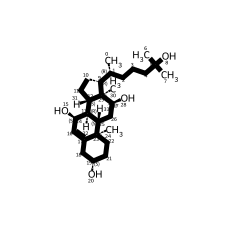 C[C@H](CCCC(C)(C)O)[C@H]1CC[C@H]2[C@@H]3[C@H](O)C=C4C[C@@H](O)CC[C@]4(C)[C@H]3C[C@H](O)[C@]12C